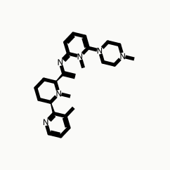 C=C(/N=c1/cccc(N2CCN(C)CC2)n1C)[C@@H]1CCC[C@H](c2ncccc2C)N1C